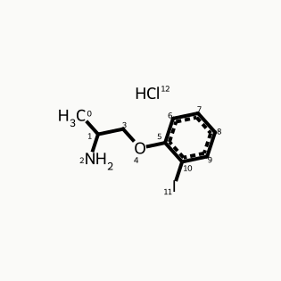 CC(N)COc1ccccc1I.Cl